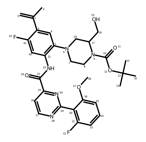 C=C(C)c1cc(N2CCN(C(=O)OC(C)(C)C)C(CO)C2)c(NC(=O)c2ccnc(-c3c(F)cccc3OC)n2)cc1F